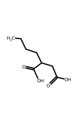 CCCCC([CH]C(=O)O)C(=O)O